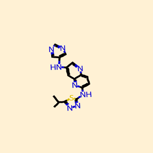 CC(C)c1nnc(Nc2ccc3ncc(Nc4cncnc4)cc3n2)s1